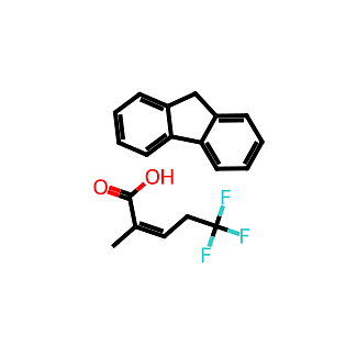 CC(=CCC(F)(F)F)C(=O)O.c1ccc2c(c1)Cc1ccccc1-2